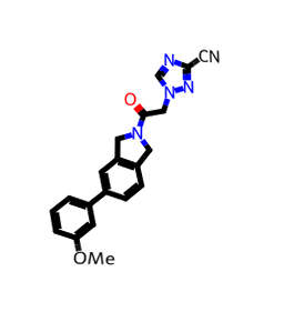 COc1cccc(-c2ccc3c(c2)CN(C(=O)Cn2cnc(C#N)n2)C3)c1